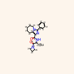 CC(C)(C)[C@H](NC(=O)c1nc(-c2ccccc2)n2c1CCCCC2)C(=O)N1CCC1